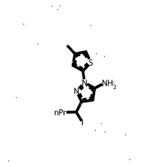 CCCC(I)c1cc(N)n(-c2cc(C)cs2)n1